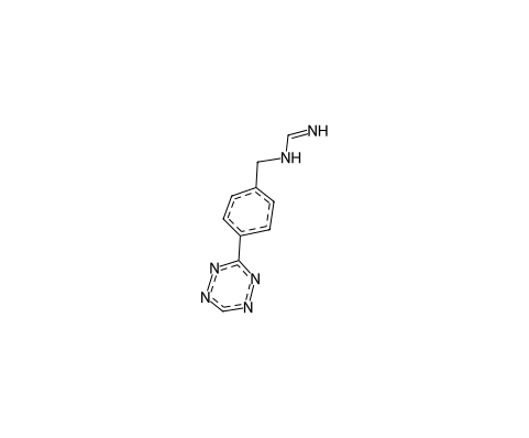 N=CNCc1ccc(-c2nncnn2)cc1